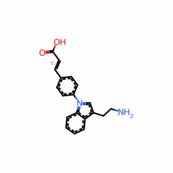 NCCc1cn(-c2ccc(/C=C/C(=O)O)cc2)c2ccccc12